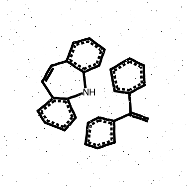 C1=Cc2ccccc2Nc2ccccc21.C=C(c1ccccc1)c1ccccc1